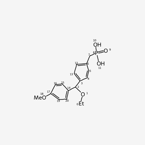 CCOC(c1ccc(CP(=O)(O)O)cc1)c1ccc(OC)cc1